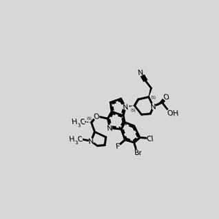 C[C@H](Oc1nc2c(F)c(Br)c(Cl)cc2c2c1ccn2[C@H]1CCN(C(=O)O)[C@H](CC#N)C1)C1CCCN1C